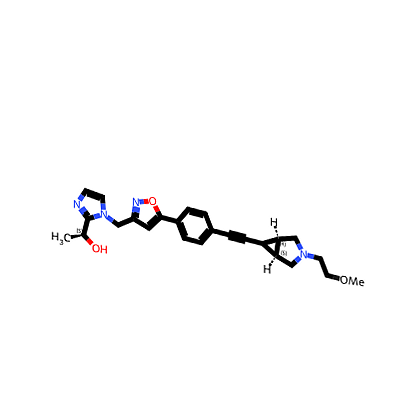 COCCN1C[C@@H]2C(C#Cc3ccc(-c4cc(Cn5ccnc5[C@H](C)O)no4)cc3)[C@@H]2C1